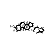 Cc1ccnn1CC(=O)[C@H]1CC[C@H]2[C@@H]3CC=C4C[C@](C)(O)CC[C@@H]4[C@H]3CC[C@]12C